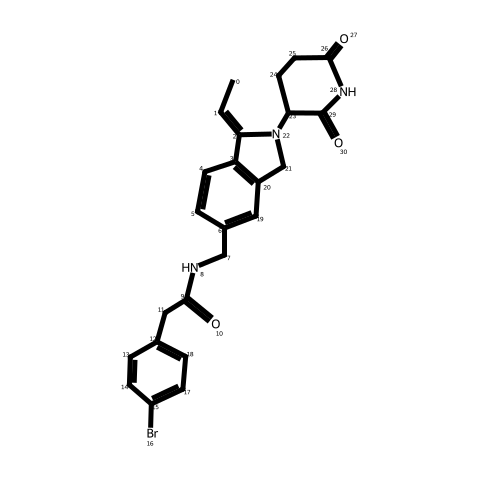 CC=C1c2ccc(CNC(=O)Cc3ccc(Br)cc3)cc2CN1C1CCC(=O)NC1=O